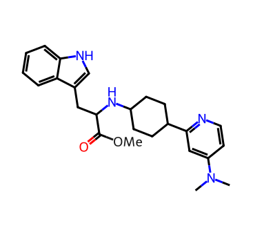 COC(=O)C(Cc1c[nH]c2ccccc12)NC1CCC(c2cc(N(C)C)ccn2)CC1